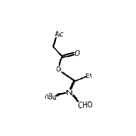 CCCCN(C=O)C(CC)OC(=O)CC(C)=O